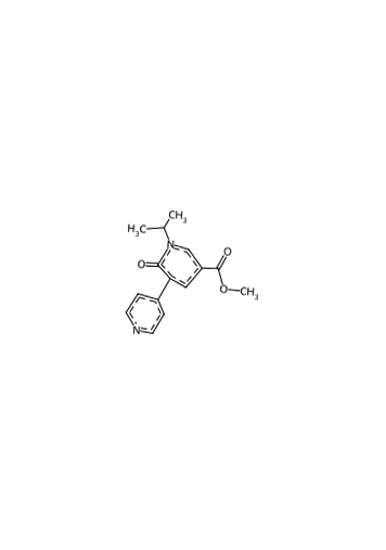 COC(=O)c1cc(-c2ccncc2)c(=O)n(C(C)C)c1